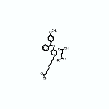 COc1ccc(C(OC2CCN(CCCCCCCC(=O)O)CC2)c2ccccc2)cc1.O=C(O)/C=C/C(=O)O